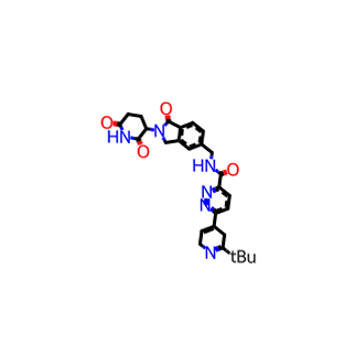 CC(C)(C)C1=NCC=C(c2ccc(C(=O)NCc3ccc4c(c3)CN(C3CCC(=O)NC3=O)C4=O)nn2)C1